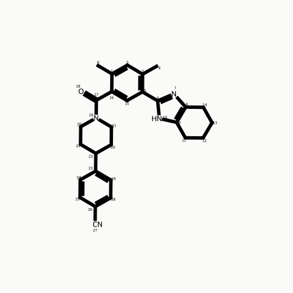 Cc1cc(C)c(-c2nc3c([nH]2)CCCC3)cc1C(=O)N1CCC(c2ccc(C#N)cc2)CC1